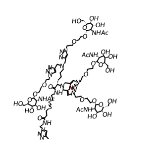 CC(=O)N[C@H]1[C@H](OCCOCCn2cc(CN(CCCC[C@@H](C(=O)NCCSSCCC(=O)NCn3cc(C)nn3)N(Cc3cn(CCOCCO[C@@H]4O[C@H](CO)[C@H](O)[C@H](O)[C@H]4NC(C)=O)nn3)Cc3cn(CCOCCO[C@@H]4O[C@H](CO)[C@H](O)[C@H](O)[C@H]4NC(C)=O)nn3)Cc3cn(CCOCCO[C@@H]4O[C@H](CO)[C@H](O)[C@H](O)[C@H]4NC(C)=O)nn3)nn2)O[C@H](CO)[C@H](O)[C@@H]1O